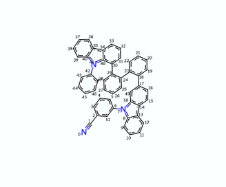 N#Cc1cccc(-n2c3ccccc3c3ccc(-c4ccccc4-c4ccccc4-c4cccc5c6ccccc6n(-c6ccccc6)c45)cc32)c1